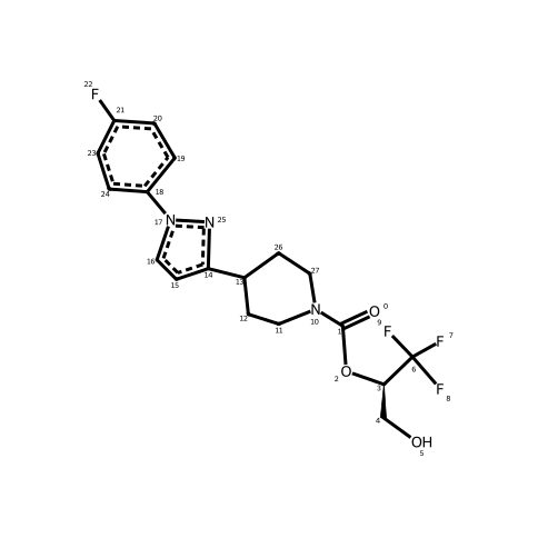 O=C(O[C@H](CO)C(F)(F)F)N1CCC(c2ccn(-c3ccc(F)cc3)n2)CC1